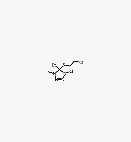 CCC1(SCCCl)N(C)N=NN1Cl